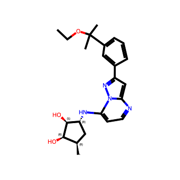 [CH2][C@@H]1C[C@@H](Nc2ccnc3cc(-c4cccc(C(C)(C)OCC)c4)nn23)[C@H](O)[C@@H]1O